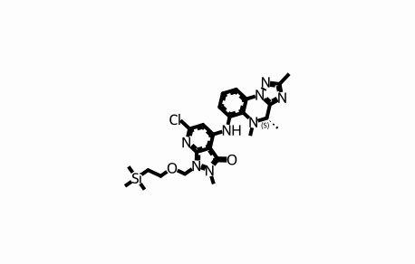 Cc1nc2n(n1)-c1cccc(Nc3cc(Cl)nc4c3c(=O)n(C)n4COCC[Si](C)(C)C)c1N(C)[C@H]2C